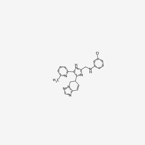 Cc1cccc(-c2[nH]c(CNc3cccc(Cl)c3)nc2C2C=Cc3ncnn3C2)n1